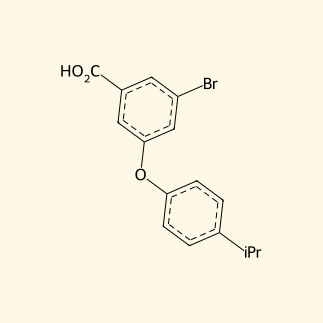 CC(C)c1ccc(Oc2cc(Br)cc(C(=O)O)c2)cc1